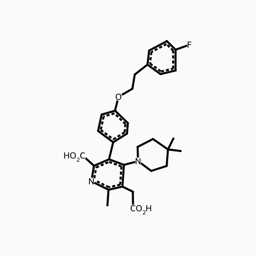 Cc1nc(C(=O)O)c(-c2ccc(OCCc3ccc(F)cc3)cc2)c(N2CCC(C)(C)CC2)c1CC(=O)O